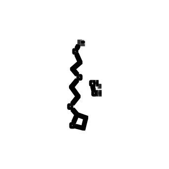 CCOCCOCCOC1CCO1.CO